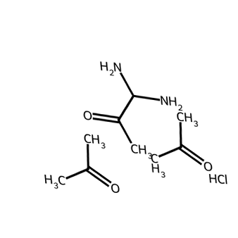 CC(=O)C(N)N.CC(C)=O.CC(C)=O.Cl